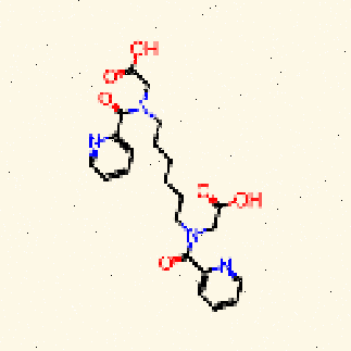 O=C(O)CN(CCCCCCN(CC(=O)O)C(=O)c1ccccn1)C(=O)c1ccccn1